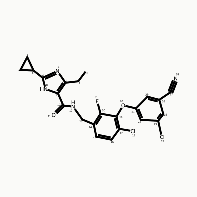 CCc1nc(C2CC2)[nH]c1C(=O)NCc1ccc(Cl)c(Oc2cc(Cl)cc(C#N)c2)c1F